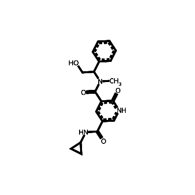 CN(C(=O)c1cc(C(=O)NC2CC2)c[nH]c1=O)C(CO)c1ccccc1